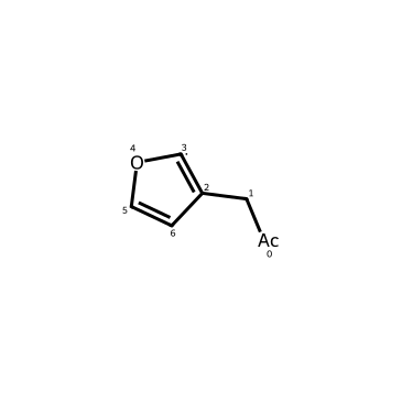 CC(=O)Cc1[c]occ1